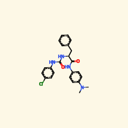 CN(C)c1ccc(NC(=O)C(Cc2ccccc2)NC(=O)Nc2ccc(Cl)cc2)cc1